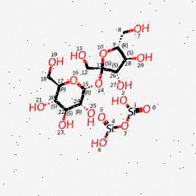 O=[Si](O)O[Si](=O)O.OC[C@H]1O[C@@](CO)(O[C@H]2O[C@H](CO)[C@@H](O)[C@H](O)[C@H]2O)[C@@H](O)[C@@H]1O